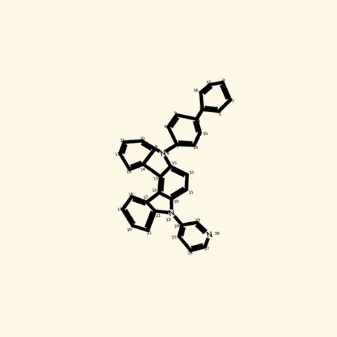 c1ccc(-c2ccc(-n3c4ccccc4c4c5c6ccccc6n(-c6cccnc6)c5ccc43)cc2)cc1